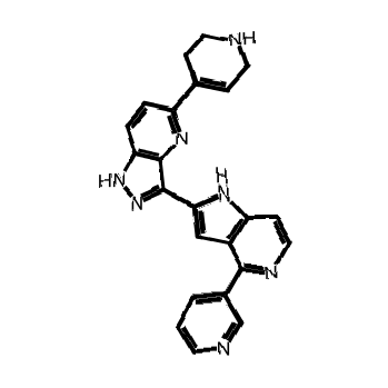 C1=C(c2ccc3[nH]nc(-c4cc5c(-c6cccnc6)nccc5[nH]4)c3n2)CCNC1